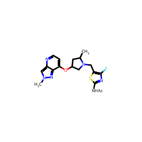 CC(=O)Nc1nc(F)c(CN2CC(Oc3ccnc4cn(C)nc34)CC2C)s1